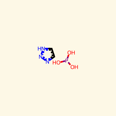 OP(O)O.c1c[nH]nn1